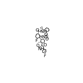 Cc1c(-c2cc(C(=O)NC3(c4ccccc4)CC3)ccc2F)c(NS(C)(=O)=O)cc2oc(-c3ccc(F)cc3)c(C(N)=O)c12